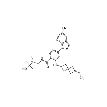 CC(C)(O)[C@H](F)CNC(=O)c1cnc(-c2ccc3cc(C#N)cnn23)cc1NC1CC2(C1)CN(CC(F)(F)F)C2